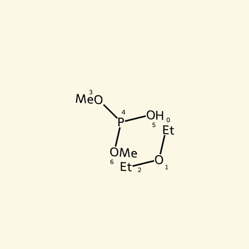 CCOCC.COP(O)OC